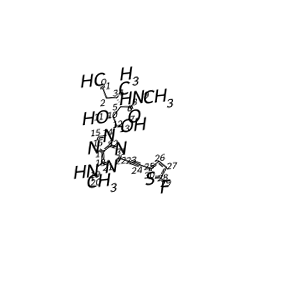 C#CCC(C)[C@H](C(=O)NC)[C@@H](O)[C@@H](O)n1cnc2c(NC)nc(C#Cc3ccc(F)s3)nc21